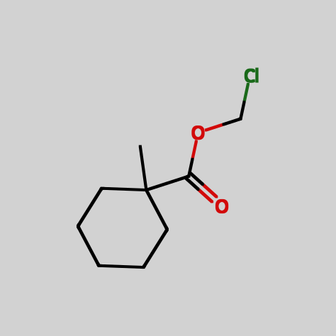 CC1(C(=O)OCCl)CCCCC1